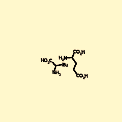 CCC(C)C(N)C(=O)O.NC(CCC(=O)O)C(=O)O